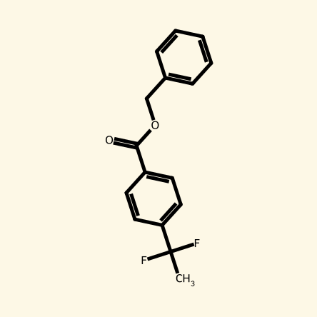 CC(F)(F)c1ccc(C(=O)OCc2ccccc2)cc1